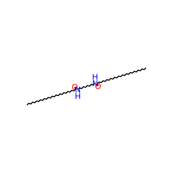 CCCCCCCCCCCCCCCCCCCCCCCCCC(=O)NCCCCCCCCNC(=O)CCCCCCCCCCCCCCCCCCCCCCCCC